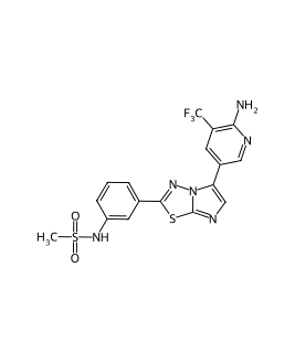 CS(=O)(=O)Nc1cccc(-c2nn3c(-c4cnc(N)c(C(F)(F)F)c4)cnc3s2)c1